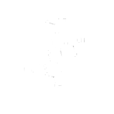 CCSC1OC(COC(C)=O)C(OC(C)=O)=CC1OC(C)=O